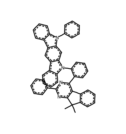 CC1(C)c2ccccc2-c2c(-c3ccccc3-n3c4ccccc4c4cc5c6ccccc6n(-c6ccccc6)c5cc43)nc(-c3ccccc3)nc21